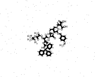 C=C(O/N=C(\C(=O)N[C@@H]1C(=O)N2C(C(=O)OCc3ccc(OC)cc3)=C(CSc3snc(O)c3C(=O)O)CS[C@H]12)c1csc(NC(c2ccccc2)(c2ccccc2)c2ccccc2)n1)C(=O)OC(C)(C)C